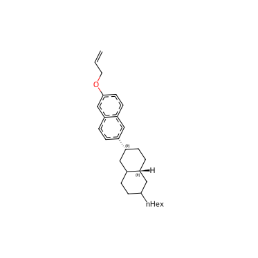 C=CCOc1ccc2cc([C@@H]3CC[C@@H]4CC(CCCCCC)CCC4C3)ccc2c1